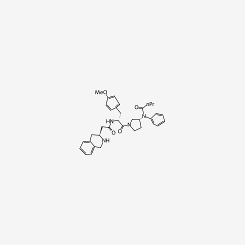 CCCC(=O)N(c1ccccc1)[C@@H]1CCN(C(=O)[C@@H](Cc2ccc(OC)cc2)NC(=O)C[C@@H]2Cc3ccccc3CN2)C1